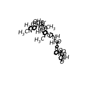 CCc1cc(Nc2ncc(Br)c(Nc3ccc4nc(C)ccc4c3P(C)(C)=O)n2)c(OC)cc1N1CCC(NCCNC(=O)C2CN(c3cccc4c3oc(=O)n4C3CCC(=O)NC3=O)C2)CC1